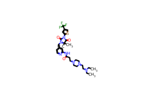 CCN(CC)CCN1CCN(CCC(=O)Nc2cc(CN3C(=O)N(c4cc(C(F)(F)F)cs4)C(=O)C3(C)C)ccn2)CC1